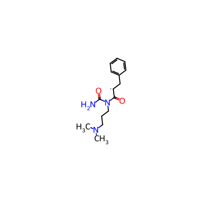 CN(C)CCCN(C(N)=O)C(=O)[CH]Cc1ccccc1